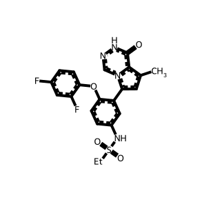 CCS(=O)(=O)Nc1ccc(Oc2ccc(F)cc2F)c(-c2cc(C)c3c(=O)[nH]ncn23)c1